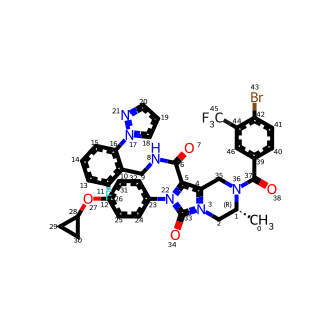 C[C@@H]1Cn2c(c(C(=O)NCc3c(F)cccc3-n3cccn3)n(-c3ccc(OC4CC4)cc3)c2=O)CN1C(=O)c1ccc(Br)c(C(F)(F)F)c1